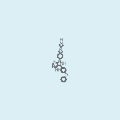 Nc1ncnc2c1C(c1ccc(Oc3ccccc3)cc1)NN2C1CCC2(CC1)CN(C1CNC1)C2